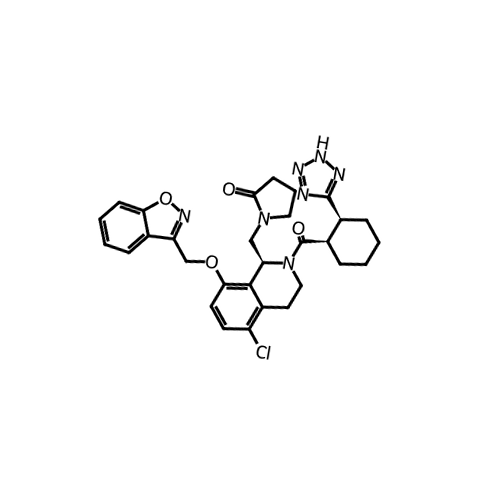 O=C1CCCN1C[C@@H]1c2c(OCc3noc4ccccc34)ccc(Cl)c2CCN1C(=O)[C@@H]1CCCC[C@@H]1c1nn[nH]n1